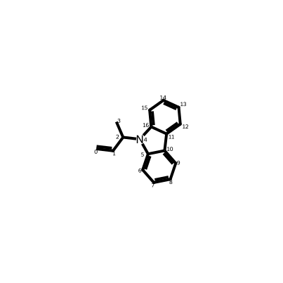 C=CC(C)n1c2ccccc2c2ccccc21